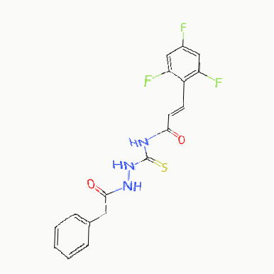 O=C(/C=C/c1c(F)cc(F)cc1F)NC(=S)NNC(=O)Cc1ccccc1